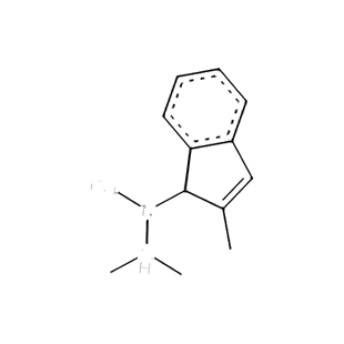 CC1=Cc2ccccc2C1N([SiH](C)C)C(C)(C)C